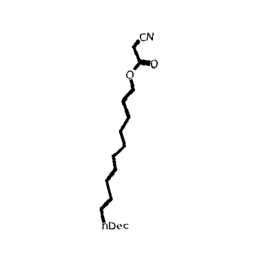 CCCCCCCCCCCCCCCCCCCCOC(=O)CC#N